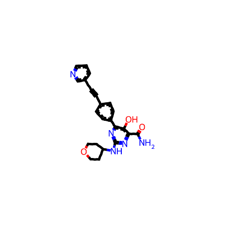 NC(=O)c1nc(NC2CCOCC2)nc(-c2ccc(C#Cc3cccnc3)cc2)c1O